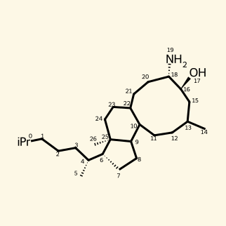 CC(C)CCC[C@@H](C)[C@H]1CCC2C3CCC(C)C[C@H](O)[C@@H](N)CCC3CC[C@@]21C